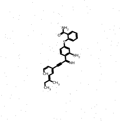 C\C=C/C(C#CC(=N)c1ccc(Sc2ccccc2C(N)=O)cc1N)=C\C=C(/C)CC